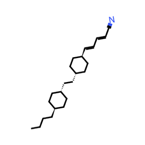 CCCC[C@H]1CC[C@H](CC[C@H]2CC[C@H](/C=C/C=C/C#N)CC2)CC1